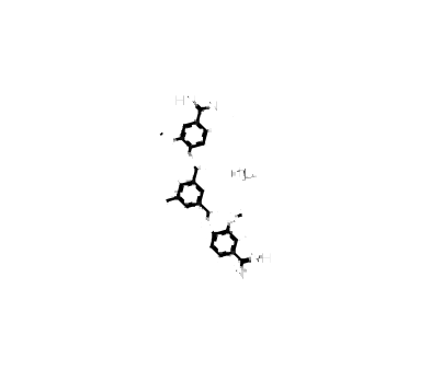 COc1cc(C(=N)N)ccc1OCc1cc(C)cc(COc2ccc(C(=N)N)cc2OC)c1.Cl.Cl